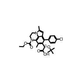 CCOC(=O)N1CCn2c(C)cc3c(-c4ccc(Cl)cc4)c([C@H](OC(C)(C)C)C(=O)O)c(C)c1c32